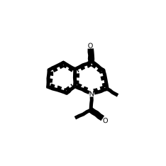 CC(=O)n1c(C)cc(=O)c2ccccc21